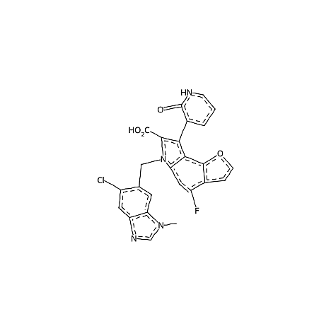 Cn1cnc2cc(Cl)c(Cn3c(C(=O)O)c(-c4ccc[nH]c4=O)c4c5occc5c(F)cc43)cc21